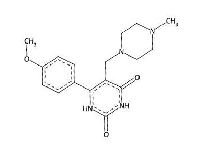 COc1ccc(-c2[nH]c(=O)[nH]c(=O)c2CN2CCN(C)CC2)cc1